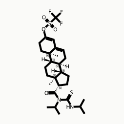 CC(C)NC(=S)N(C(=O)[C@H]1CC[C@H]2[C@@H]3CC=C4C=C(OS(=O)(=O)C(F)(F)F)CC[C@]4(C)[C@H]3CC[C@]12C)C(C)C